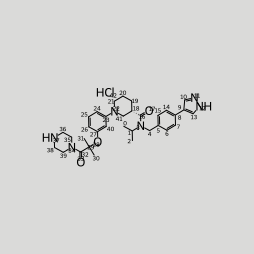 CC(C)N(Cc1ccc(-c2cn[nH]c2)cc1)C(=O)[C@H]1CCCN(c2cccc(OC(C)(C)C(=O)N3CCNCC3)c2)C1.Cl